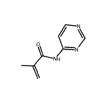 C=C(C)C(=O)Nc1ccncn1